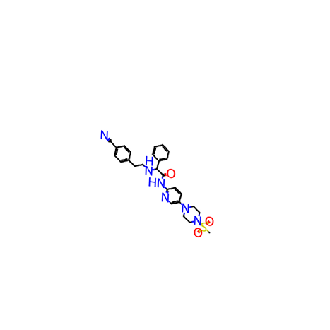 CS(=O)(=O)N1CCN(c2ccc(NC(=O)C(NCCc3ccc(C#N)cc3)c3ccccc3)nc2)CC1